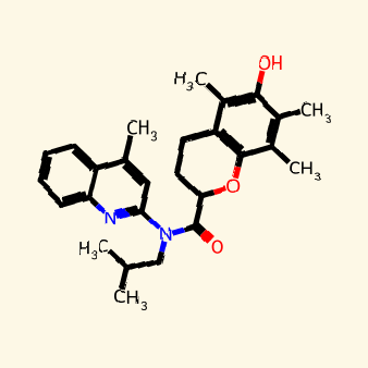 Cc1c(C)c2c(c(C)c1O)CCC(C(=O)N(CC(C)C)c1cc(C)c3ccccc3n1)O2